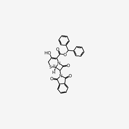 O=C(OC(c1ccccc1)c1ccccc1)C1=C(O)CS[C@H]2C(N3C(=O)c4ccccc4C3=O)C(=O)N12